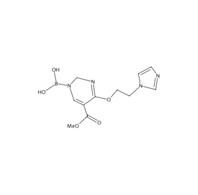 COC(=O)C1=CN(B(O)O)CN=C1OCCn1ccnc1